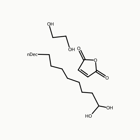 CCCCCCCCCCCCCCCCCC(O)O.O=C1C=CC(=O)O1.OCCO